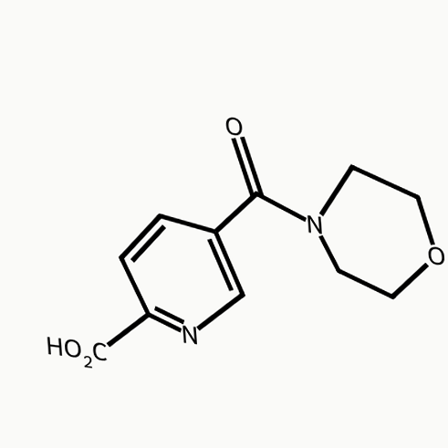 O=C(O)c1ccc(C(=O)N2CCOCC2)cn1